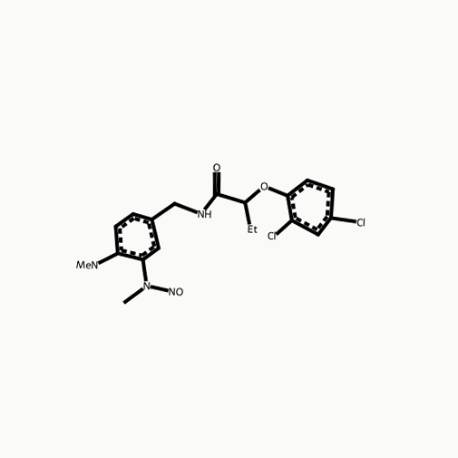 CCC(Oc1ccc(Cl)cc1Cl)C(=O)NCc1ccc(NC)c(N(C)N=O)c1